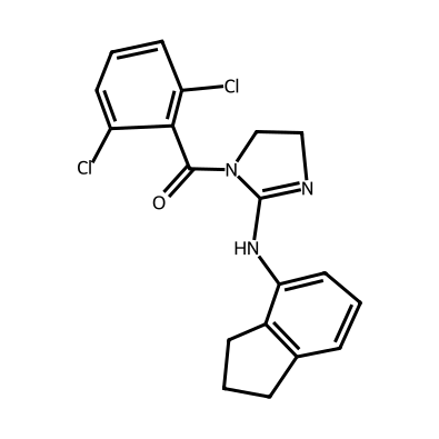 O=C(c1c(Cl)cccc1Cl)N1CCN=C1Nc1cccc2c1CCC2